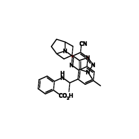 Cc1cc(C(C)Nc2ccccc2C(=O)O)c2nc(N3C4CCC3CC(c3cnn(C)c3)C4)c(C#N)nc2c1